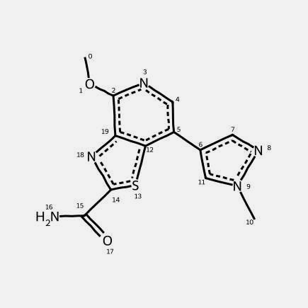 COc1ncc(-c2cnn(C)c2)c2sc(C(N)=O)nc12